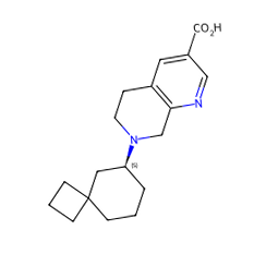 O=C(O)c1cnc2c(c1)CCN([C@H]1CCCC3(CCC3)C1)C2